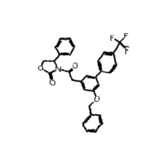 O=C(Cc1cc(OCc2ccccc2)cc(-c2ccc(C(F)(F)F)cc2)c1)N1C(=O)OCC1c1ccccc1